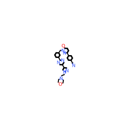 N#Cc1ccc(-c2ccc(=O)n(Cc3cccc(-c4ncc(-c5cnn(CCN6CCOCC6)c5)cn4)c3)n2)cc1